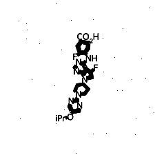 CC(C)Oc1cnc(N2CCC(n3cc(F)c4c(Nc5ccc(C(=O)O)cc5F)ncnc43)CC2)nc1